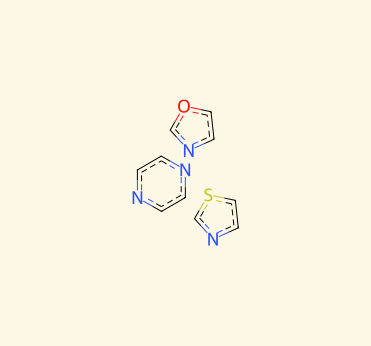 c1cnccn1.c1cocn1.c1cscn1